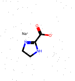 O=C([O-])C1=NCCN1.[Na+]